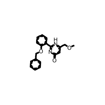 COCc1cc(=O)nc(-c2ccccc2OCc2ccccc2)[nH]1